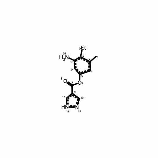 CCc1c(C)cc(OC(=O)c2cn[nH]c2)cc1N